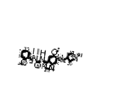 COc1cc2c(NC(=O)NSc3ccccc3OC)ncnc2cc1OCC1CCN(C)CC1